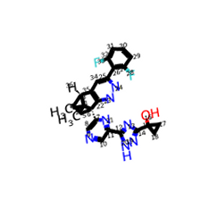 CC1(C)[C@H]2CC[C@]1(c1cncc(-c3nc(C4(O)CC4)n[nH]3)n1)c1nnc(-c3c(F)cccc3F)cc12